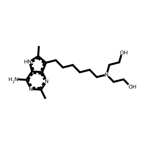 Cc1nc(N)c2[nH]c(C)c(CCCCCCN(CCO)CCO)c2n1